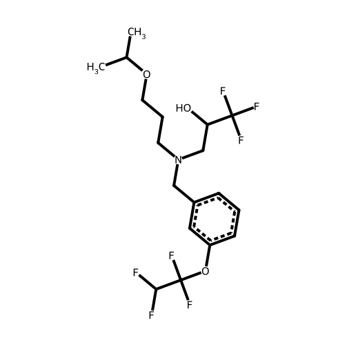 CC(C)OCCCN(Cc1cccc(OC(F)(F)C(F)F)c1)CC(O)C(F)(F)F